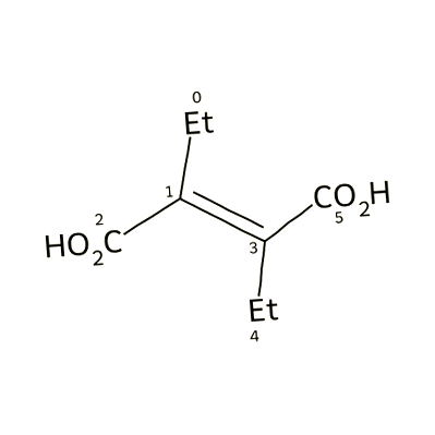 CCC(C(=O)O)=C(CC)C(=O)O